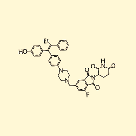 CCC(=C(c1ccc(O)cc1)c1ccc(N2CCN(Cc3cc(F)c4c(c3)C(=O)N(C3CCC(=O)NC3=O)C4=O)CC2)cc1)c1ccccc1